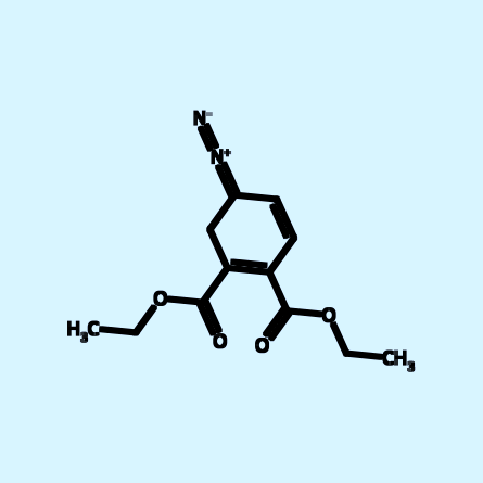 CCOC(=O)C1=C(C(=O)OCC)CC(=[N+]=[N-])C=C1